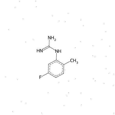 Cc1ccc(F)cc1NC(=N)N